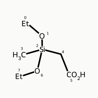 CCO[Si](C)(CC(=O)O)OCC